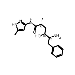 Cc1cc(NC(=O)[C@H](C)C[C@H](O)[C@@H](N)Cc2ccccc2)n[nH]1